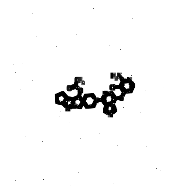 Nc1nccc(Sc2cnc(N3CCC4(CC3)Cn3nc5c(c3C4OC(=O)C(F)(F)F)CCC5)c3cncn23)c1Cl